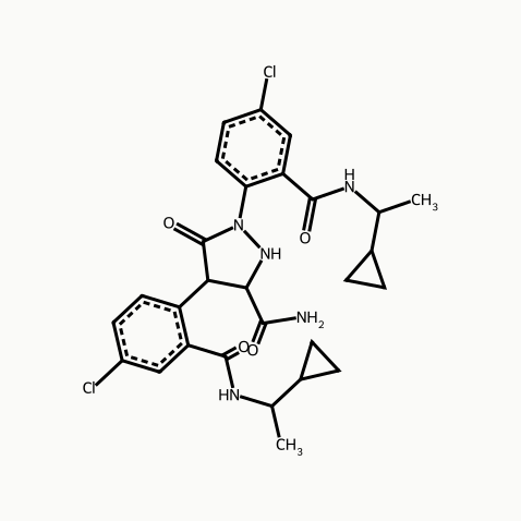 CC(NC(=O)c1cc(Cl)ccc1C1C(=O)N(c2ccc(Cl)cc2C(=O)NC(C)C2CC2)NC1C(N)=O)C1CC1